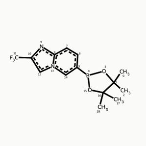 CC1(C)OB(c2ccc3nc(C(F)(F)F)cn3c2)OC1(C)C